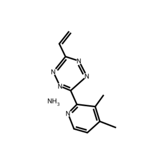 C=Cc1nnc(-c2nccc(C)c2C)nn1.N